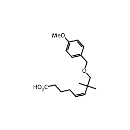 COc1ccc(COCC(C)(C)/C=C\CCCC(=O)O)cc1